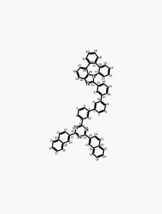 c1cc(-c2cccc(-c3nc(-c4ccc5ccccc5c4)nc(-c4ccc5ccccc5c4)n3)c2)cc(-c2cccc(-c3nc4cccc5c4n3-c3ccccc3-c3ccccc3-5)c2)c1